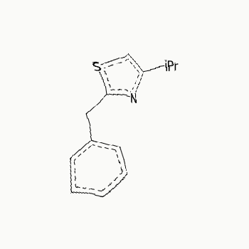 CC(C)c1csc(Cc2ccccc2)n1